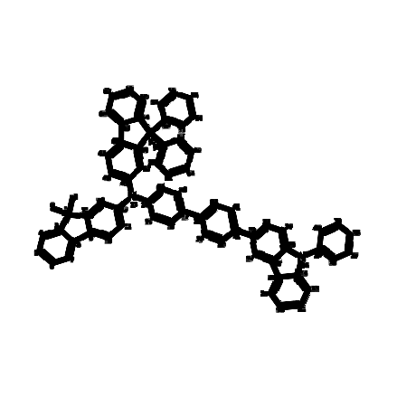 CC1(C)c2ccccc2-c2ccc(N(c3ccc(-c4ccc(-c5ccc6c(c5)c5ccccc5n6-c5ccccc5)cc4)cc3)c3ccc4c(c3)C(c3ccccc3)(c3ccccc3)c3ccccc3-4)cc21